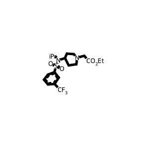 CCOC(=O)CN1CCC(N(C(C)C)S(=O)(=O)c2cccc(C(F)(F)F)c2)CC1